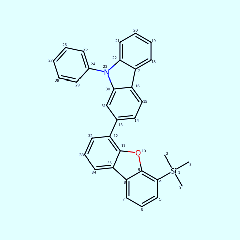 C[Si](C)(C)c1cccc2c1oc1c(-c3ccc4c5ccccc5n(-c5ccccc5)c4c3)cccc12